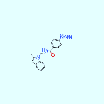 Cc1cc2ccccc2n1CCNC(=O)c1ccc(N=[N+]=[N-])cc1